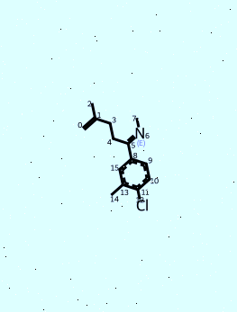 C=C(C)CC/C(=N\C)c1ccc(Cl)c(C)c1